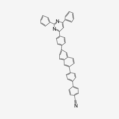 N#Cc1ccc(-c2ccc(-c3ccc4cc(-c5ccc(-c6cc(-c7ccccc7)nc(-c7ccccc7)n6)cc5)ccc4c3)cc2)cc1